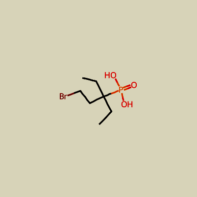 CCC(CC)(CCBr)P(=O)(O)O